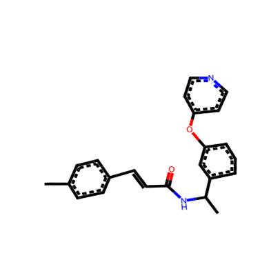 Cc1ccc(C=CC(=O)NC(C)c2cccc(Oc3ccncc3)c2)cc1